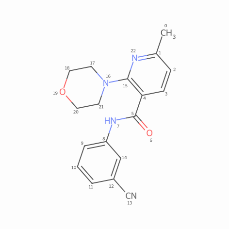 Cc1ccc(C(=O)Nc2cccc(C#N)c2)c(N2CCOCC2)n1